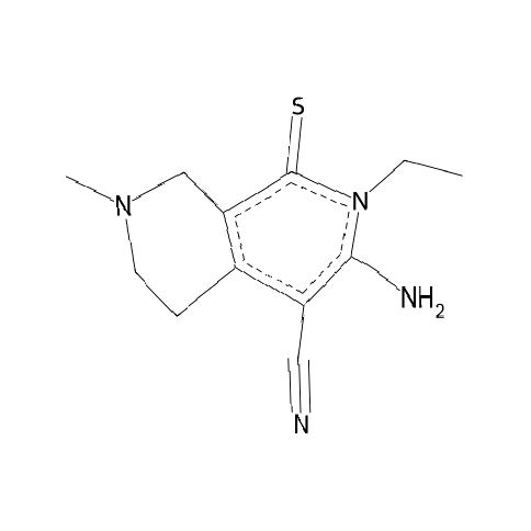 CCn1c(N)c(C#N)c2c(c1=S)CN(C)CC2